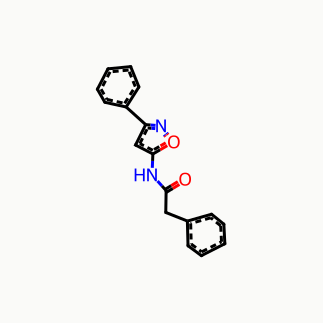 O=C(Cc1ccccc1)Nc1cc(-c2ccccc2)no1